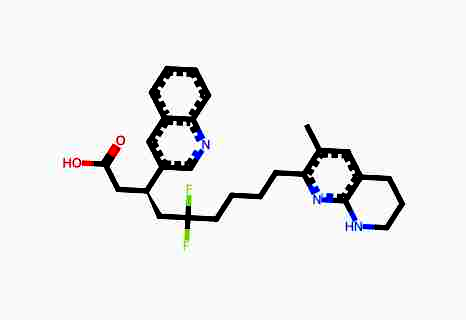 Cc1cc2c(nc1CCCCC(F)(F)C[C@@H](CC(=O)O)c1cnc3ccccc3c1)NCCC2